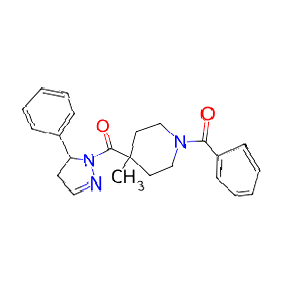 CC1(C(=O)N2N=CCC2c2ccccc2)CCN(C(=O)c2ccccc2)CC1